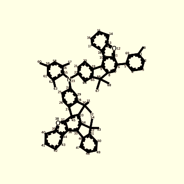 Cc1cccc(-c2cc3c(c4c2oc2ccccc24)-c2ccc(N(c4ccc5c(c4)C(C)(C)c4c6c(c7c(oc8ccccc87)c4-5)-c4ccccc4C6(C)C)c4c(C)cc(C)cc4C)cc2C3(C)C)c1